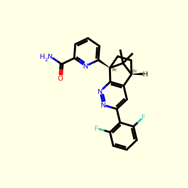 CC1(C)[C@@H]2CC[C@@]1(c1cccc(C(N)=O)n1)c1nnc(-c3c(F)cccc3F)cc12